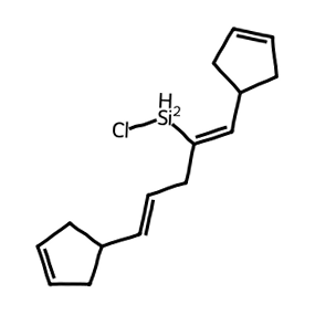 Cl[SiH2]C(=CC1CC=CC1)CC=CC1CC=CC1